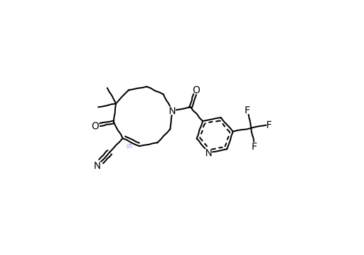 CC1(C)CCCN(C(=O)c2cncc(C(F)(F)F)c2)CC/C=C(/C#N)C1=O